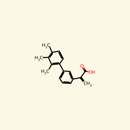 C=C(C(=O)O)c1cccc(-c2ccc(C)c(C)c2C)c1